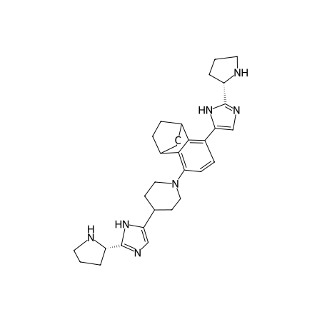 c1nc([C@@H]2CCCN2)[nH]c1-c1ccc(N2CCC(c3cnc([C@@H]4CCCN4)[nH]3)CC2)c2c1C1CCC2CC1